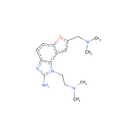 CN(C)CCn1c(N)nc2ccc3oc(CN(C)C)cc3c21